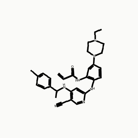 C=CC(=O)Nc1cc(N2CCN(CC)CC2)ccc1Nc1cc(NC(C)c2ccc(C)cc2)c(C#N)cn1